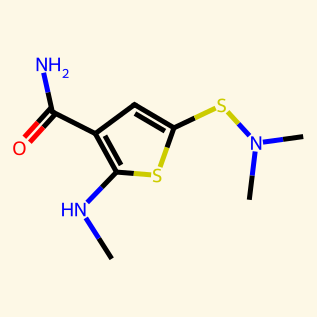 CNc1sc(SN(C)C)cc1C(N)=O